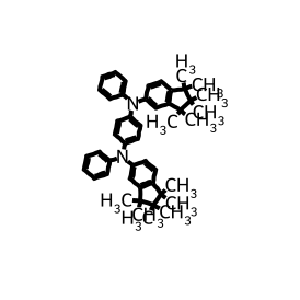 CC1(C)c2ccc(N(c3ccccc3)c3ccc(N(c4ccccc4)c4ccc5c(c4)C(C)(C)C(C)(C)C5(C)C)cc3)cc2C(C)(C)C1(C)C